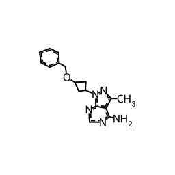 Cc1nn(C2CC(OCc3ccccc3)C2)c2ncnc(N)c12